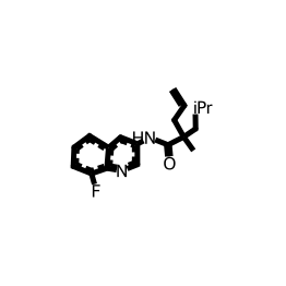 C=CCC(C)(CC(C)C)C(=O)Nc1cnc2c(F)cccc2c1